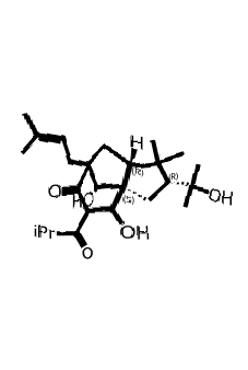 CC(C)=CCC12C[C@@H]3C(C)(C)[C@H](C(C)(C)O)C[C@]3(C(O)C(C(=O)C(C)C)C1=O)C2O